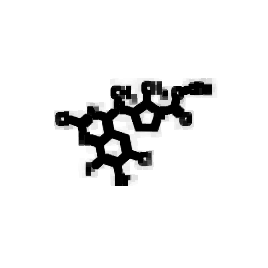 CC1C(N(C)c2nc(Cl)nc3c(F)c(Br)c(Cl)cc23)CCN1C(=O)OC(C)(C)C